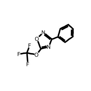 FC(F)(F)Oc1nc(-c2ccccc2)no1